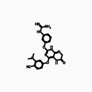 CN(C)c1cc(OC2=C3NC(=O)CN=C3NC(Oc3cccc(NC(=N)N)c3)=N2)ccc1C#N